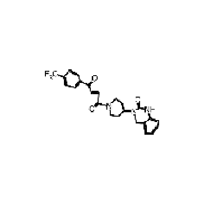 O=C(C=CC(=O)N1CCC(N2Cc3ccccc3NC2=O)CC1)c1ccc(C(F)(F)F)cc1